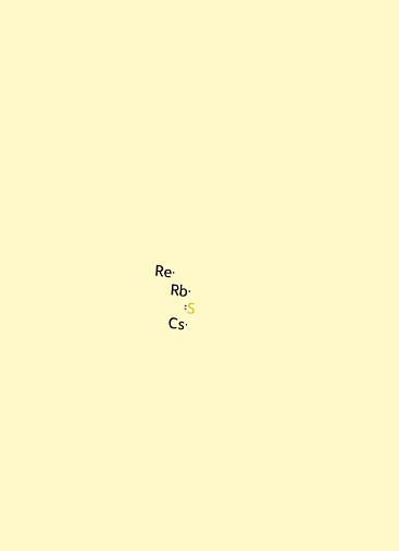 [Cs].[Rb].[Re].[S]